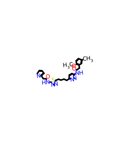 COc1ccc(C)cc1CC(=O)Nc1ccc(CCCCc2nnc(NC(=O)Cc3ccccn3)s2)nn1